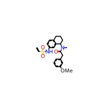 C=CS(=O)(=O)Nc1ccc2c(c1)C(N(C)C(=O)Cc1cccc(OC)c1)CCC2